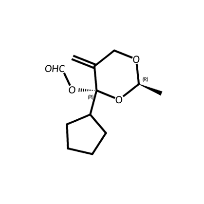 C=C1CO[C@@H](C)O[C@@]1(OC=O)C1CCCC1